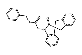 O=C(CN1C(=O)C2(Cc3ccccc3C2)c2ccccc21)OCc1ccccc1